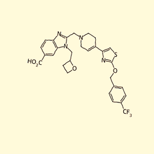 O=C(O)c1ccc2nc(CN3CC=C(c4csc(OCc5ccc(C(F)(F)F)cc5)n4)CC3)n(CC3CCO3)c2c1